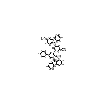 N#Cc1cc(-c2cc(-c3ccccc3)cc(-n3c4ccccc4c4ccccc43)c2C#N)cc(-n2c3ccccc3c3cc(C#N)ccc32)c1